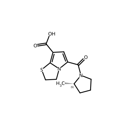 C[C@H]1CCCN1C(=O)c1cc(C(=O)O)c2n1CCS2